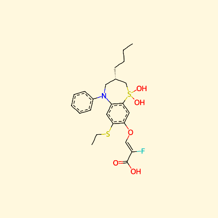 CCCC[C@H]1CN(c2ccccc2)c2cc(SCC)c(O/C=C(\F)C(=O)O)cc2S(O)(O)C1